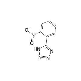 O=[N+]([O-])c1ccccc1-c1nnn[nH]1